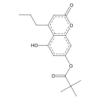 CCCc1cc(=O)oc2cc(OC(=O)C(C)(C)C)cc(O)c12